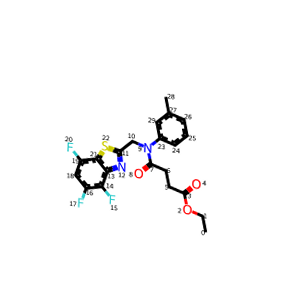 CCOC(=O)CCC(=O)N(Cc1nc2c(F)c(F)cc(F)c2s1)c1cccc(C)c1